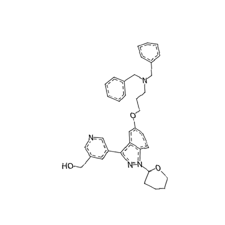 OCc1cncc(-c2nn(C3CCCCO3)c3ccc(OCCCN(Cc4ccccc4)Cc4ccccc4)cc23)c1